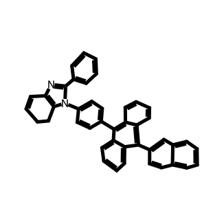 C1=Cc2nc(-c3ccccc3)n(-c3ccc(-c4c5ccccc5c(-c5ccc6ccccc6c5)c5ccccc45)cc3)c2CC1